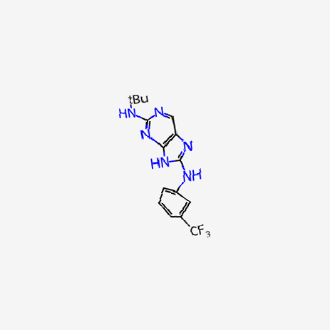 CC(C)(C)Nc1ncc2nc(Nc3cccc(C(F)(F)F)c3)[nH]c2n1